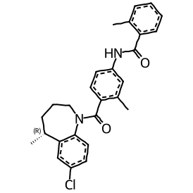 Cc1ccccc1C(=O)Nc1ccc(C(=O)N2CCC[C@@H](C)c3cc(Cl)ccc32)c(C)c1